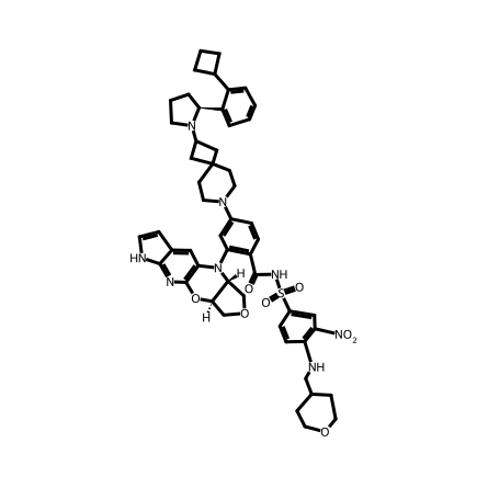 O=C(NS(=O)(=O)c1ccc(NCC2CCOCC2)c([N+](=O)[O-])c1)c1ccc(N2CCC3(CC2)CC(N2CCC[C@H]2c2ccccc2C2CCC2)C3)cc1N1c2cc3cc[nH]c3nc2O[C@@H]2COC[C@H]21